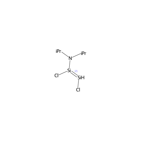 CC(C)N(C(C)C)/[Si](Cl)=[SiH]/Cl